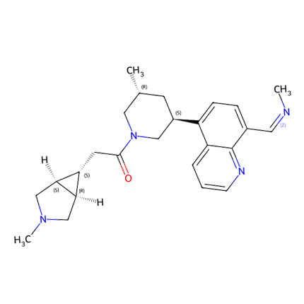 C/N=C\c1ccc([C@@H]2C[C@@H](C)CN(C(=O)C[C@@H]3[C@H]4CN(C)C[C@@H]34)C2)c2cccnc12